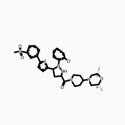 C[C@@H]1CN(C2CCN(C(=O)C3CC(c4ccc(-c5cccc(S(C)(=O)=O)c5)s4)N(c4ccccc4Cl)N3)CC2)C[C@H](C)O1